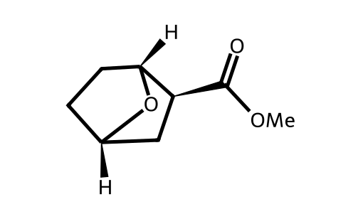 COC(=O)[C@H]1C[C@@H]2CC[C@H]1O2